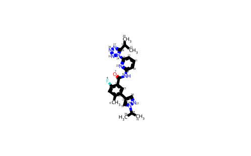 Cc1cc(F)c(C(=O)Nc2cccc(-n3nnnc3C(C)C)n2)cc1-c1cnn(C(C)C)c1